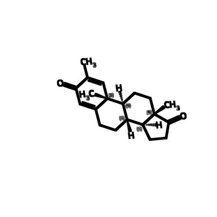 CC1=C[C@@]2(C)C(=CC1=O)CC[C@@H]1[C@@H]2CC[C@]2(C)C(=O)CC[C@@H]12